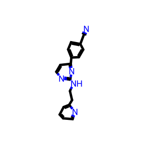 N#Cc1ccc(-c2ccnc(NCCc3ccccn3)n2)cc1